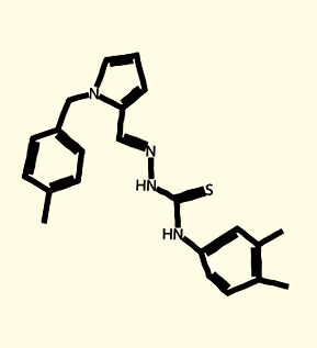 Cc1ccc(Cn2cccc2/C=N/NC(=S)Nc2ccc(C)c(C)c2)cc1